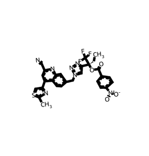 CC[C@](OC(=O)c1ccc([N+](=O)[O-])cc1)(c1cn(Cc2ccc3c(-c4csc(C)n4)cc(C#N)nc3c2)nn1)C(F)(F)F